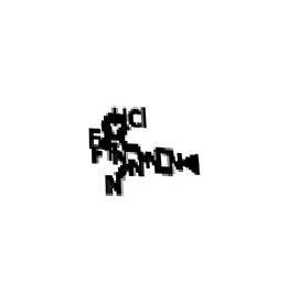 Cl.N#Cc1nc(-c2ccccc2C(F)(F)F)cc(N2CCN(C3CC3)CC2)n1